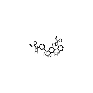 C=CC(=O)Nc1cccc(-c2ncnc3c(F)c(-c4c(F)cccc4OC(=O)C=C)c(Cl)cc23)c1